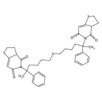 CC(CCCCSCCCCC(C)(c1ccccc1)N1C(=O)C=C2SCCC2C1=O)(c1ccccc1)N1C(=O)C=C2SCCC2C1=O